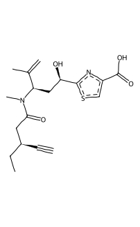 C#C[C@@H](CC)CC(=O)N(C)[C@H](C[C@@H](O)c1nc(C(=O)O)cs1)C(=C)C